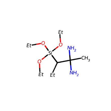 CCO[Si](OCC)(OCC)C(CC)C(C)(N)N